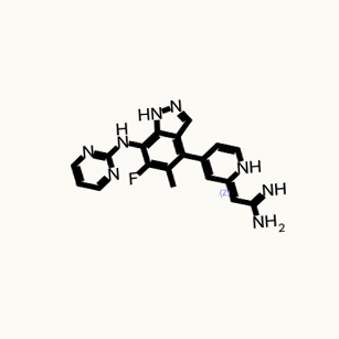 Cc1c(F)c(Nc2ncccn2)c2[nH]ncc2c1C1=C/C(=C/C(=N)N)NC=C1